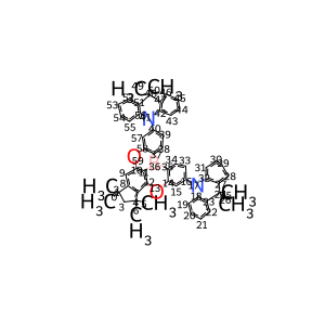 CC1(C)CC(C)(C)c2c1cc1c3c2Oc2cc(N4c5ccccc5C(C)(C)c5ccccc54)ccc2B3c2ccc(N3c4ccccc4C(C)(C)c4ccccc43)cc2O1